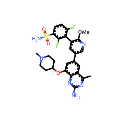 COc1ncc(-c2cc(OC3CCN(C)CC3)c3nc(N)nc(C)c3c2)cc1-c1c(F)ccc(S(N)(=O)=O)c1F